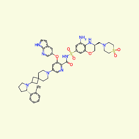 CC(C)c1ccccc1[C@@H]1CCCN1C1CC2(CCN(c3cnc(C(=O)NS(=O)(=O)c4cc(N)c5c(c4)OC[C@H](CN4CCS(=O)(=O)CC4)N5)c(Oc4cnc5[nH]ccc5c4)c3)CC2)C1